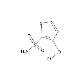 CCOc1ccsc1S(N)(=O)=O